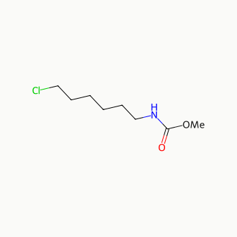 COC(=O)NCCCCCCCl